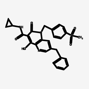 CS(=O)(=O)c1ccc(Cn2c(=O)c(C(=O)NC3CC3)c(O)c3ncc(Cc4ccccc4)cc32)cc1